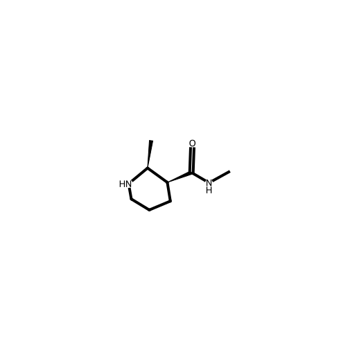 CNC(=O)[C@H]1CCCN[C@H]1C